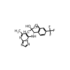 Cc1cc(N[C@@H](c2ccc(C(F)(F)F)cc2Cl)C(C)(C)O)n2ncnc2n1